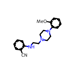 COc1ccccc1N1CCN(CCNc2ccccc2C#N)CC1